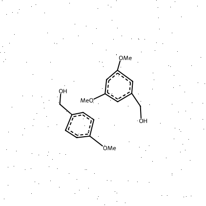 COc1cc(CO)cc(OC)c1.COc1ccc(CO)cc1